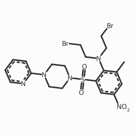 Cc1cc([N+](=O)[O-])cc(S(=O)(=O)N2CCN(c3ccccn3)CC2)c1N(CCBr)CCBr